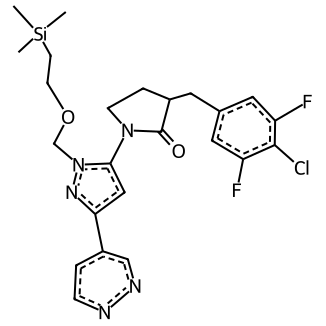 C[Si](C)(C)CCOCn1nc(-c2ccnnc2)cc1N1CCC(Cc2cc(F)c(Cl)c(F)c2)C1=O